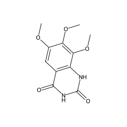 COc1cc2c(=O)[nH]c(=O)[nH]c2c(OC)c1OC